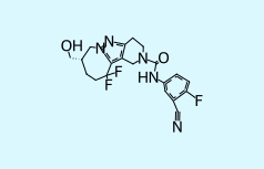 N#Cc1cc(NC(=O)N2CCc3nn4c(c3C2)C(F)(F)CC[C@H](CO)C4)ccc1F